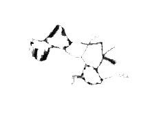 COc1ccc(Br)c2c1C(C)(C)CC(O)(C(F)(F)F)C2Nc1cccc2[nH]ncc12